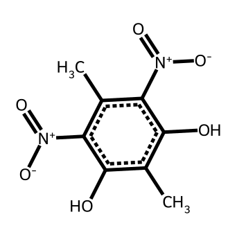 Cc1c(O)c([N+](=O)[O-])c(C)c([N+](=O)[O-])c1O